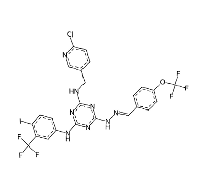 FC(F)(F)Oc1ccc(C=NNc2nc(NCc3ccc(Cl)nc3)nc(Nc3ccc(I)c(C(F)(F)F)c3)n2)cc1